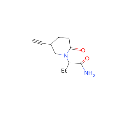 C#CC1CCC(=O)N(C(CC)C(N)=O)C1